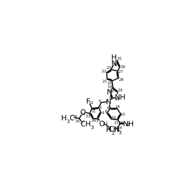 CCOc1cc(CN(c2ccc(C(=N)N)cc2)c2nc(-c3ccc4[nH]ccc4c3)c[nH]2)c(F)c(OC(C)C)c1